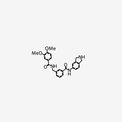 COc1ccc(C(=O)NCc2cccc(C(=O)Nc3ccc4c(c3)CNC4)c2)cc1OC